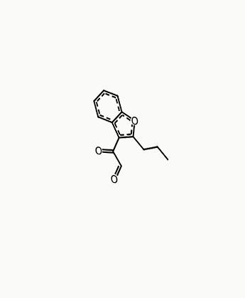 CCCc1oc2ccccc2c1C(=O)C=O